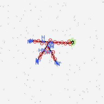 [N-]=[N+]=NCCOCCOCCC(=O)NCCCC[C@H](NC(=O)[C@H](CCCCNC(O)CCOCCOCCN=[N+]=[N-])NC(=O)CCCNC(=O)CCOCCOCCN=[N+]=[N-])C(=O)NCCOCCOCCOCCOCCC(=O)Oc1c(F)c(F)c(F)c(F)c1F